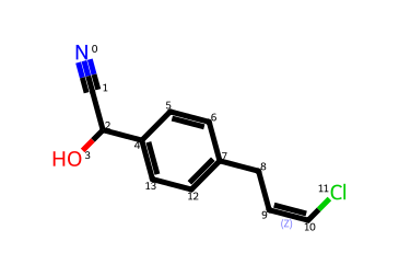 N#CC(O)c1ccc(C/C=C\Cl)cc1